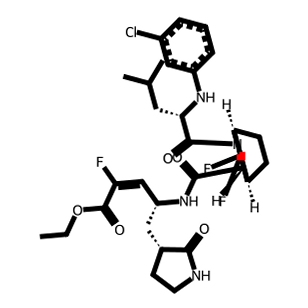 CCOC(=O)/C(F)=C\[C@@H](C[C@H]1CCNC1=O)NC(=O)[C@H]1[C@@H]2CC[C@@H](CC2(F)F)N1C(=O)[C@H](CC(C)C)Nc1cccc(Cl)c1